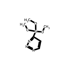 CO[Si](OC)(OC)c1ccnnn1